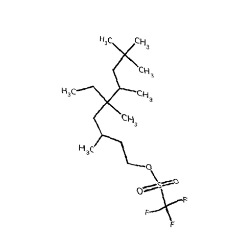 CCC(C)(CC(C)CCOS(=O)(=O)C(F)(F)F)C(C)CC(C)(C)C